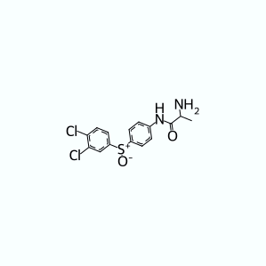 CC(N)C(=O)Nc1ccc([S+]([O-])c2ccc(Cl)c(Cl)c2)cc1